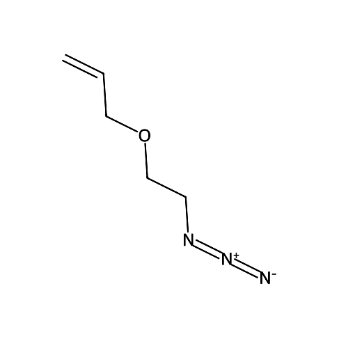 C=CCOCCN=[N+]=[N-]